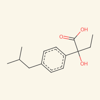 CCC(O)(C(=O)O)c1ccc(CC(C)C)cc1